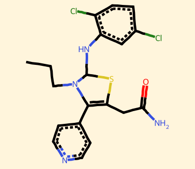 CCCN1C(c2ccncc2)=C(CC(N)=O)SC1Nc1cc(Cl)ccc1Cl